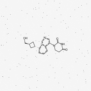 O=C1CCN(c2cncc3c2cccc3[C@H]2C[C@H](CO)C2)C(=O)N1